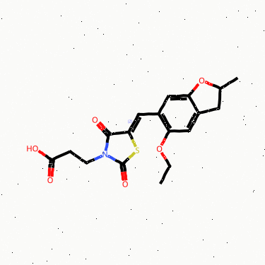 CCOc1cc2c(cc1/C=C1\SC(=O)N(CCC(=O)O)C1=O)OC(C)C2